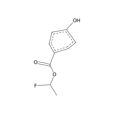 CC(F)OC(=O)c1ccc(O)cc1